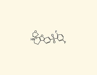 O=S(=O)(c1ccc2c3c(oc2c1)[C@]1(CCOC1)NCC3)c1cc(F)ccc1F